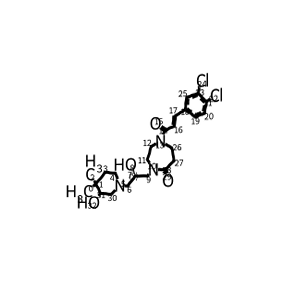 CC1(C)CCN(C[C@H](O)CN2CCN(C(=O)C=Cc3ccc(Cl)c(Cl)c3)CCC2=O)CC1O